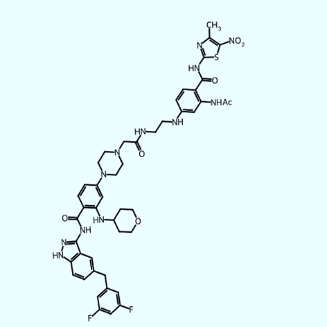 CC(=O)Nc1cc(NCCNC(=O)CN2CCN(c3ccc(C(=O)Nc4n[nH]c5ccc(Cc6cc(F)cc(F)c6)cc45)c(NC4CCOCC4)c3)CC2)ccc1C(=O)Nc1nc(C)c([N+](=O)[O-])s1